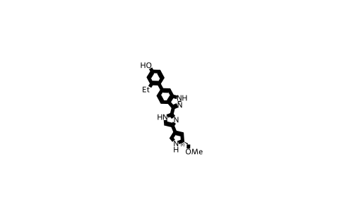 CCc1cc(O)ccc1-c1ccc2c(-c3nc(C4=C[C@H](COC)NC4)c[nH]3)n[nH]c2c1